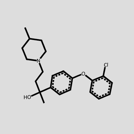 CC1CCN(CCC(C)(O)c2ccc(Oc3ccccc3Cl)cc2)CC1